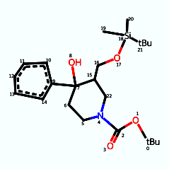 CC(C)(C)OC(=O)N1CCC(O)(c2ccccc2)C(CO[Si](C)(C)C(C)(C)C)C1